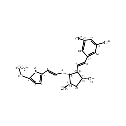 O=C(O)Oc1ccc(C=CC[C@@H]2[C@@H](C=Cc3cc(Cl)cc(Cl)c3)[C@H](O)C[C@H]2Cl)s1